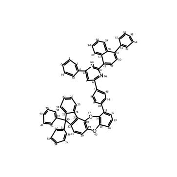 c1ccc(-c2cc(-c3ccc(-c4cccc5c4Oc4c(ccc6c4-c4ccccc4C6(c4ccccc4)c4ccccc4)O5)cc3)nc(-c3ccc(-c4ccccc4)c4ccccc34)n2)cc1